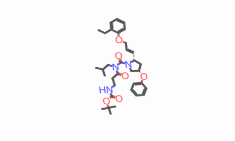 CCc1ccccc1OCC=C[C@@H]1C[C@H](Oc2ccccc2)CN1C(=O)N(CC(C)C)C(=O)CCNC(=O)OC(C)(C)C